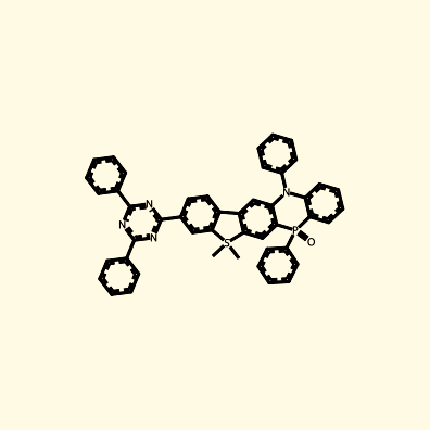 CS1(C)c2cc(-c3nc(-c4ccccc4)nc(-c4ccccc4)n3)ccc2-c2cc3c(cc21)P(=O)(c1ccccc1)c1ccccc1N3c1ccccc1